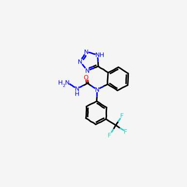 NNC(=O)N(c1cccc(C(F)(F)F)c1)c1ccccc1-c1nnn[nH]1